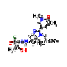 COC(C)Cn1c(-c2cc(C)c(=O)n(C)c2)nc2cc(CNC(C(=O)Cl)C(C)O)ccc21